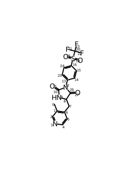 Cc1cnccc1CC1NC(=O)N(c2ccc(S(=O)(=O)C(F)(F)F)cc2)C1=O